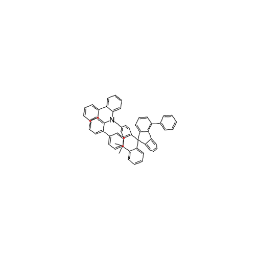 CC1(C)c2ccccc2C2(c3ccccc3-c3c(-c4ccccc4)cccc32)c2ccc(N(c3ccccc3-c3ccccc3)c3ccccc3-c3ccccc3)cc21